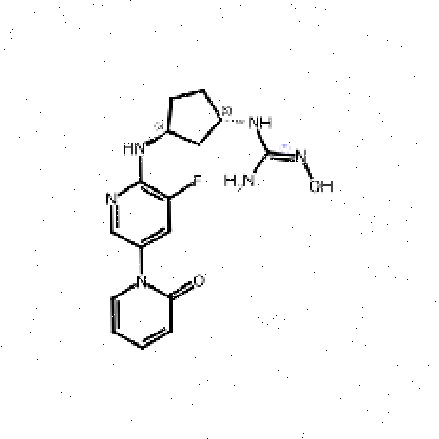 N/C(=N\O)N[C@H]1CC[C@H](Nc2ncc(-n3ccccc3=O)cc2F)C1